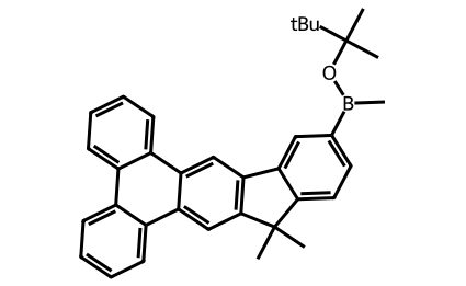 CB(OC(C)(C)C(C)(C)C)c1ccc2c(c1)-c1cc3c4ccccc4c4ccccc4c3cc1C2(C)C